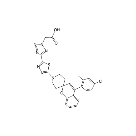 Cc1cc(Cl)ccc1C1=CC2(CCN(c3nnc(-c4nnn(CC(=O)O)n4)s3)CC2)Oc2ccccc21